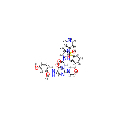 COc1ccc(CNc2cnc(N3CCOCC3)n(CC(=O)NCc3cc4cnccc4n3S(=O)(=O)c3ccccc3)c2=O)c(OC)c1